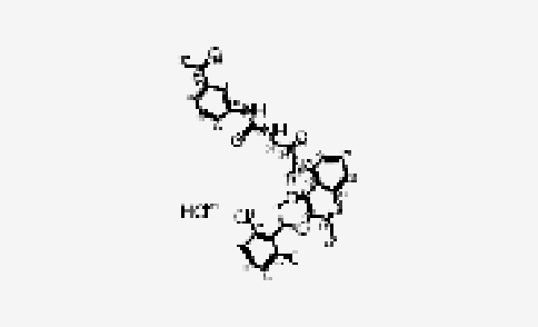 COc1c(OCc2c(Cl)cccc2Cl)c(C)nc2cccc(N(C)C(=O)CNC(=O)Nc3cccc(C(C)=O)c3)c12.Cl